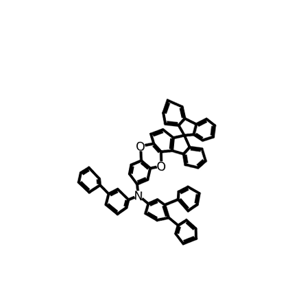 c1ccc(-c2cccc(N(c3ccc4c(c3)Oc3c(ccc5c3-c3ccccc3C53c5ccccc5-c5ccccc53)O4)c3ccc(-c4ccccc4)c(-c4ccccc4)c3)c2)cc1